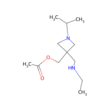 CCNCC1(COC(C)=O)CN(C(C)C)C1